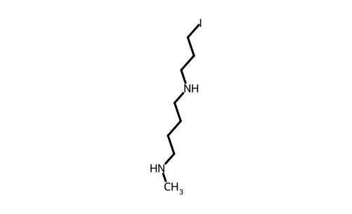 CNCCCCNCCCI